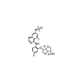 Cc1cc(N=S(C)(C)=O)cc2ncnc(Nc3ccc(F)cc3O[C@@H]3CO[C@H]4[C@@H]3OC[C@@]4(C)O)c12